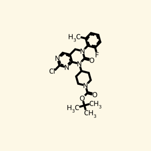 Cc1cccc(F)c1N1Cc2cnc(Cl)nc2N(C2CCN(C(=O)OC(C)(C)C)CC2)C1=O